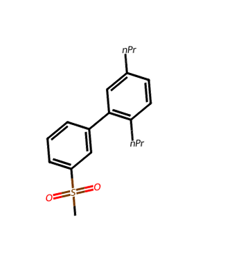 CCCc1ccc(CCC)c(-c2cccc(S(C)(=O)=O)c2)c1